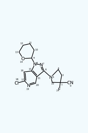 N#CC1(F)CCN(c2nn(C3CCCCO3)c3cc(Cl)ncc23)C1